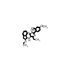 CCO[C@H]1Cc2ccccc2[C@H]1Nc1c(CC)nc(-c2ccc(OC)cc2Cl)n(C)c1=O